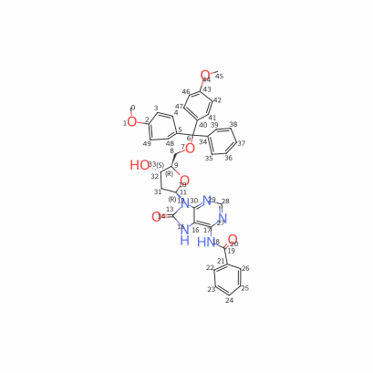 COc1ccc(C(OC[C@H]2O[C@@H](n3c(=O)[nH]c4c(NC(=O)c5ccccc5)ncnc43)C[C@@H]2O)(c2ccccc2)c2ccc(OC)cc2)cc1